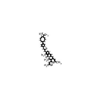 CCCC(CC1CC(=O)c2c(ccc(CC(=O)Cc3ccc(/C4=C/C/C=C\C(C(C)C)=C/CC4)cc3)c2C)C1)C(CC)C(=O)CC(C)=O